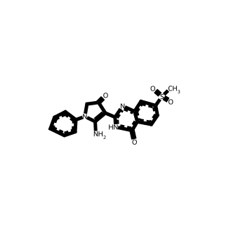 CS(=O)(=O)c1ccc2c(=O)[nH]c(C3=C(N)N(c4ccccc4)CC3=O)nc2c1